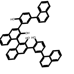 Oc1ccc(-c2cccc3ccccc23)cc1-c1cc2ccccc2c(-c2c(O)c(-c3cc(-c4cccc5ccccc45)ccc3O)cc3ccccc23)c1O